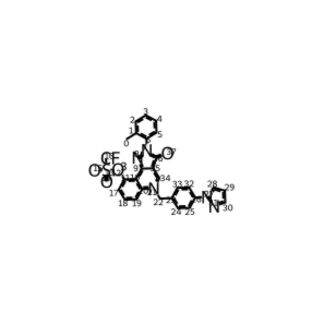 Cc1ccccc1-n1nc2c3c(OS(=O)(=O)C(F)(F)F)cccc3n(Cc3ccc(-n4cccn4)cc3)cc-2c1=O